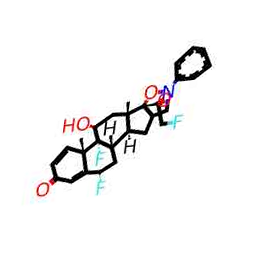 C[C@]12C=CC(=O)C=C1[C@@H](F)C[C@H]1[C@@H]3CC4CN(c5ccccc5)O[C@@]4(C(=O)CF)[C@@]3(C)C[C@H](O)[C@@]12F